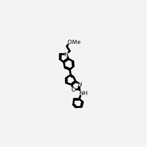 COCCn1ccc2cc(-c3ccc4oc(Nc5ccccc5)nc4c3)ccc21